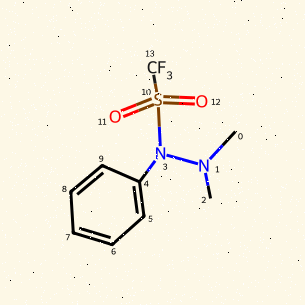 CN(C)N(c1ccccc1)S(=O)(=O)C(F)(F)F